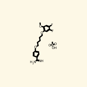 COc1cc(F)c(F)cc1OCCCCCOc1ccc(C(=N)N)cc1.CS(=O)(=O)O